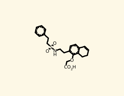 O=C(O)COc1c(CCNS(=O)(=O)CCc2ccccc2)ccc2c1CCC=C2